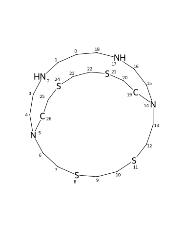 C1CNCCN2CCSCCSCCN(CCNC1)CCSCCSCC2